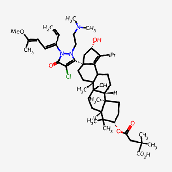 C=C/C(=C\C=C(/C)OC)n1c(=O)c(Cl)c([C@@]23CC[C@]4(C)C(CC[C@H]5C4(C)CC[C@H]4C(C)(C)[C@@H](OC(=O)CC(C)(C)C(=O)O)CC[C@@]45C)C2=C(C(C)C)[C@@H](O)C3)n1CCN(C)C